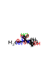 CNC(=O)CCCNC(=O)C(CCN1CCC(C)(c2cccc(O)c2)C(C)C1)C1CCCCC1.Cl.O